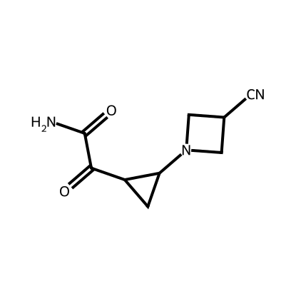 N#CC1CN(C2CC2C(=O)C(N)=O)C1